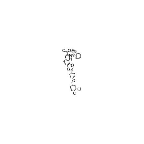 CC[C@H](N[C@@H](Cc1ccc2c(c1)OC[C@H](c1ccc(OCc3ccc(Cl)c(Cl)c3)cc1)O2)C(=O)OC)c1ccccc1